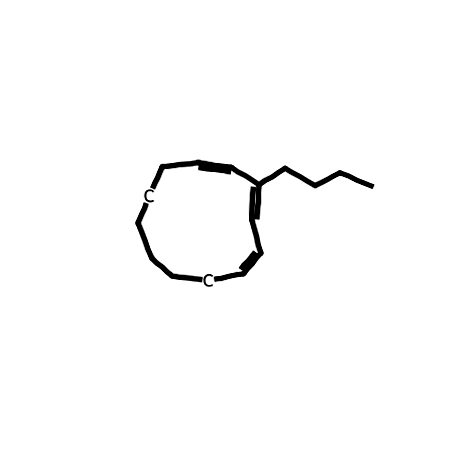 CCCCC1=C\C=C/CCCCCC/C=C\1